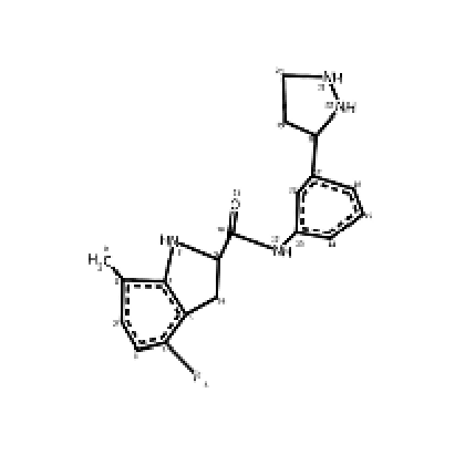 Cc1ccc(F)c2c1NC(C(=O)Nc1cccc(C3CCNN3)c1)C2